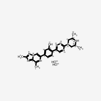 Cc1nc2c(C)nc(-c3ccc(-c4cnc(N5C[C@@H](C)N[C@@H](C)C5)nn4)c(O)c3)cn2n1.Cl.Cl